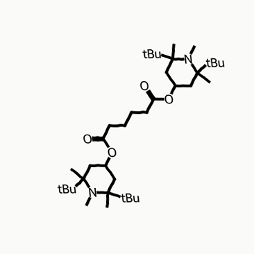 CN1C(C)(C(C)(C)C)CC(OC(=O)CCCCC(=O)OC2CC(C)(C(C)(C)C)N(C)C(C)(C(C)(C)C)C2)CC1(C)C(C)(C)C